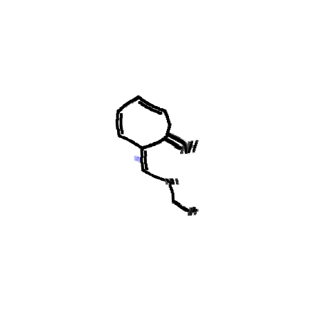 CC(C)CN/C=C1/C=CC=CC1=N